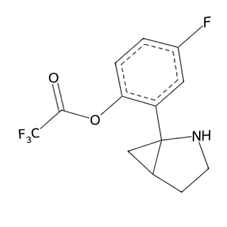 O=C(Oc1ccc(F)cc1C12CC1CCN2)C(F)(F)F